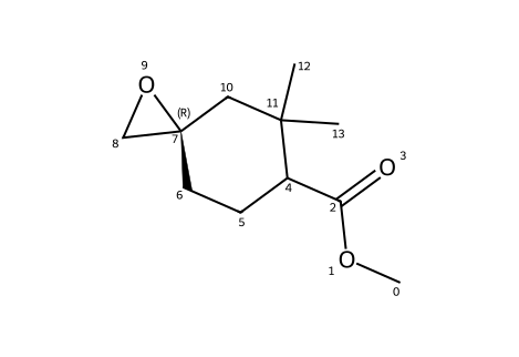 COC(=O)C1CC[C@]2(CO2)CC1(C)C